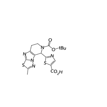 Cc1nn2c3c(nc2s1)CCN(C(=O)OC(C)(C)C)C3c1ncc(C(=O)O)s1